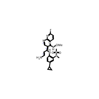 CONC(=O)C(/C=N\c1cccc(F)n1)=C(/C=C/N)Nc1ccc(C2CC2)cc1N(C)S(C)(=O)=O